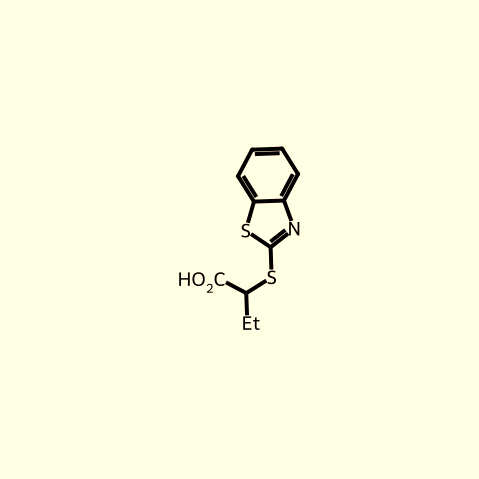 CCC(Sc1nc2ccccc2s1)C(=O)O